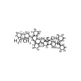 CC1(C)c2ccccc2-c2ccc(-c3cc4c5ccccc5c(-c5ccc6c(c5)C(C)(C)c5cc(N(c7ccccc7)c7ccccc7)ccc5-6)cc4c4ccccc34)cc21